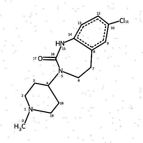 CN1CCC(N2CCc3cc(Cl)ccc3NC2=O)CC1